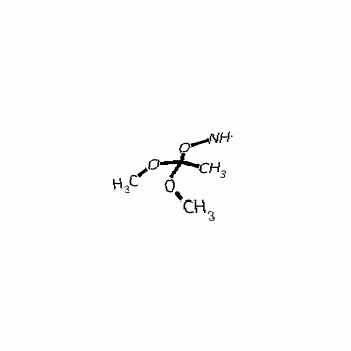 COC(C)(OC)O[NH]